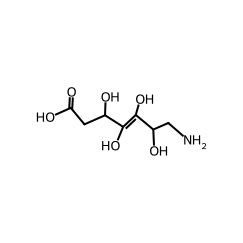 NCC(O)/C(O)=C(\O)C(O)CC(=O)O